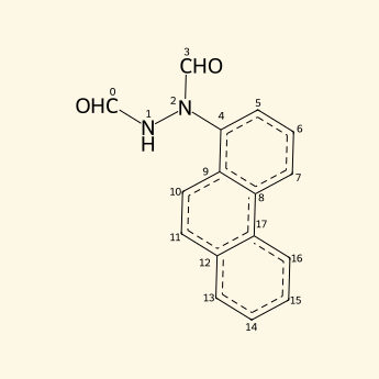 O=CNN(C=O)c1cccc2c1ccc1ccccc12